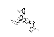 Cc1ccccc1-c1cnc(OC(C)C)nc1N[C@@H](Cc1ccc(OC(=O)N(C)C)cc1)C(=O)O